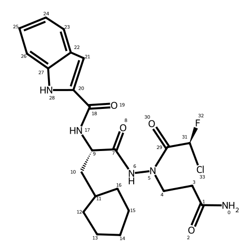 NC(=O)CCN(NC(=O)[C@H](CC1CCCCC1)NC(=O)c1cc2ccccc2[nH]1)C(=O)[C@@H](F)Cl